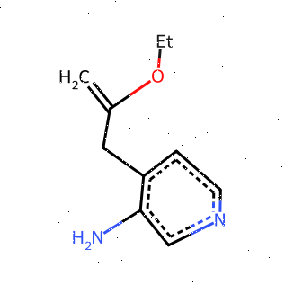 C=C(Cc1ccncc1N)OCC